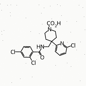 O=C(NCC1(c2cccc(Cl)n2)CCN(C(=O)O)CC1)c1ccc(Cl)cc1Cl